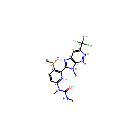 CNC(=O)N(C)c1ccc([S+](C)[O-])c(-c2nc3cc(C(F)(F)F)nnc3n2C)n1